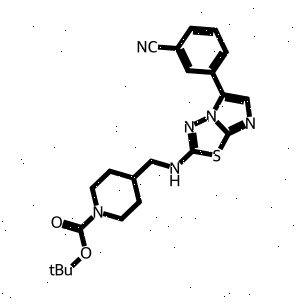 CC(C)(C)OC(=O)N1CCC(CNc2nn3c(-c4cccc(C#N)c4)cnc3s2)CC1